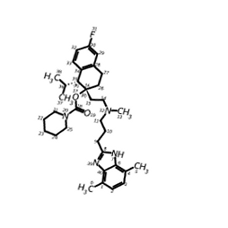 Cc1ccc(C)c2[nH]c(CCCN(C)CC[C@]3(OC(=O)N4CCCCC4)CCc4cc(F)ccc4[C@H]3C(C)C)nc12